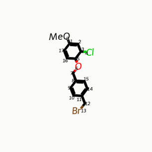 COC1=CC(Cl)[C](OCc2ccc(CBr)cc2)C=C1